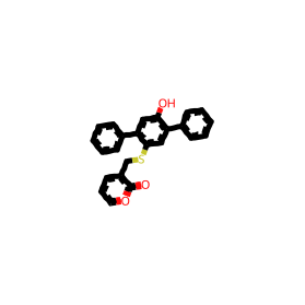 O=c1occcc1CSc1cc(-c2ccccc2)c(O)cc1-c1ccccc1